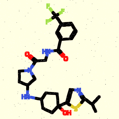 CC(C)c1ncc(C2(O)CCC(NC3CCN(C(=O)CNC(=O)c4cccc(C(F)(F)F)c4)C3)CC2)s1